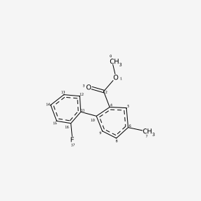 COC(=O)c1cc(C)ccc1-c1ccccc1F